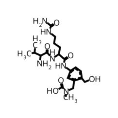 CC(C)C(N)C(=O)NC(CCCNC(N)=O)C(=O)Nc1ccc(CO)c(CN(C)C(=O)O)c1